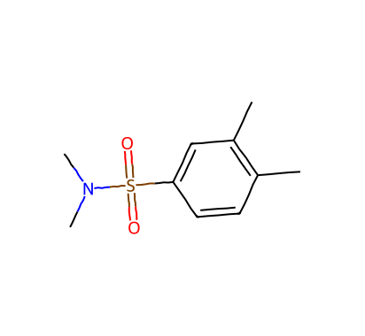 Cc1ccc(S(=O)(=O)N(C)C)cc1C